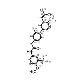 COc1ncc(NC(=O)Cc2ccc(-c3cnc(C)c(/C=C(\C)Cl)c3)c(F)c2)cc1C(F)(F)F